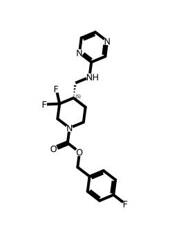 O=C(OCc1ccc(F)cc1)N1CC[C@@H](CNc2cnccn2)C(F)(F)C1